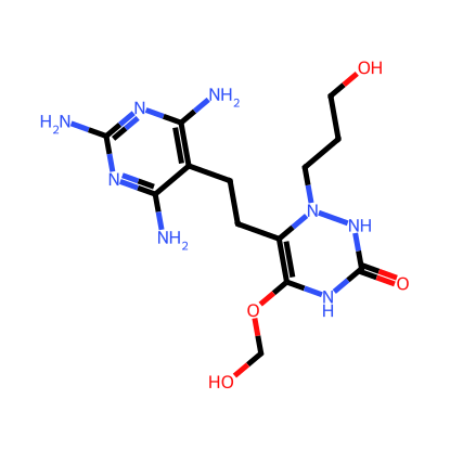 Nc1nc(N)c(CCC2=C(OCO)NC(=O)NN2CCCO)c(N)n1